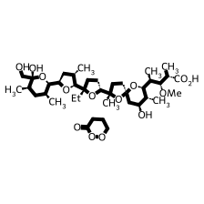 CC[C@@]1([C@@H]2O[C@@H]([C@H]3O[C@@](O)(CO)[C@H](C)C[C@@H]3C)C[C@@H]2C)CC[C@H]([C@]2(C)CC[C@]3(C[C@H](O)[C@@H](C)[C@@H]([C@@H](C)[C@@H](OC)[C@H](C)C(=O)O)O3)O2)O1.O=C1CCCOO1